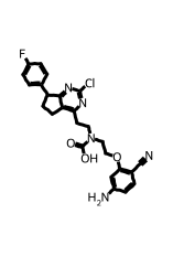 N#Cc1ccc(N)cc1OCCN(CCc1nc(Cl)nc2c1CCC2c1ccc(F)cc1)C(=O)O